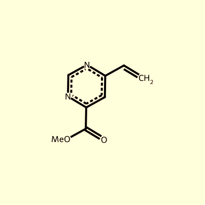 C=Cc1cc(C(=O)OC)ncn1